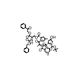 C[C@@H]1C[C@@H](C(=O)O[C@@H](C)[C@H](NC(=O)OCc2ccccc2)C(=O)OCC(=O)c2ccccc2)N(C(=O)[C@H](C)NC(=O)[C@@H]2CN(C)CCN2C(=O)[C@@H]2C[C@@H](O)CN2C(=O)OC(C)(C)C)C1